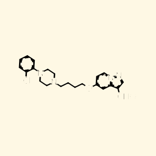 O=Cc1cnn2ccc(OCCCCN3CCN(c4ccccc4Cl)CC3)cc12